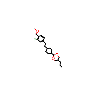 CCCC1COC(C2CCC(CCc3ccc(COC)c(F)c3)CC2)OC1